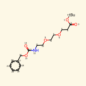 CC(C)(C)OC(=O)CCOCCOCCNC(=O)OCc1ccccc1